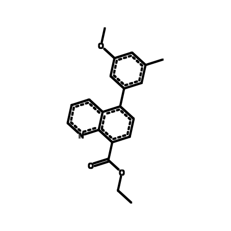 CCOC(=O)c1ccc(-c2cc(C)cc(OC)c2)c2cccnc12